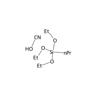 CCC[Si](OCC)(OCC)OCC.N#CO